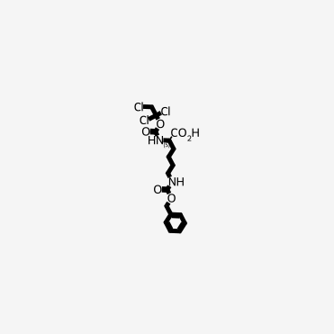 O=C(NCCCC[C@H](NC(=O)OC(Cl)(Cl)CCl)C(=O)O)OCc1ccccc1